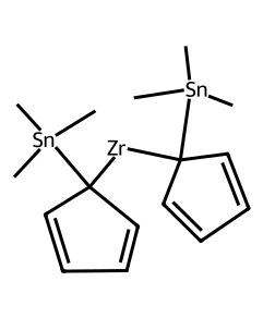 [CH3][Sn]([CH3])([CH3])[C]1([Zr][C]2([Sn]([CH3])([CH3])[CH3])C=CC=C2)C=CC=C1